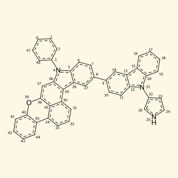 c1ccc(-n2c3ccc(-c4ccc5c(c4)c4ccccc4n5-c4cc[nH]c4)cc3c3c4cccc5c4c(cc32)Oc2ccccc2-5)cc1